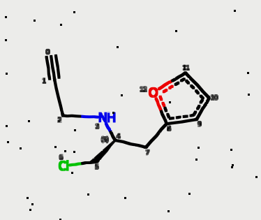 C#CCN[C@H](CCl)Cc1ccco1